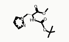 COC(=O)[C@@H](Cn1cccn1)NC(=O)OC(C)(C)C